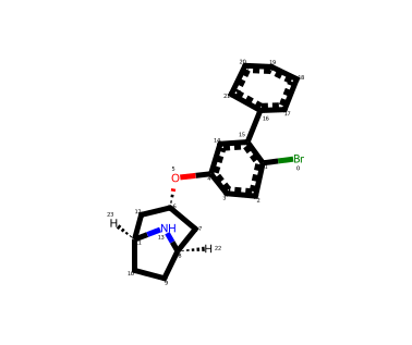 Brc1ccc(O[C@@H]2C[C@H]3CC[C@@H](C2)N3)cc1-c1ccccc1